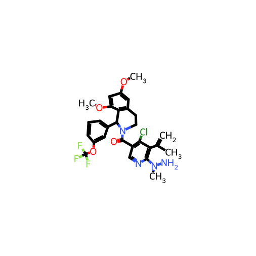 C=C(C)c1c(N(C)N)ncc(C(=O)N2CCc3cc(OC)cc(OC)c3C2c2cccc(OC(F)(F)F)c2)c1Cl